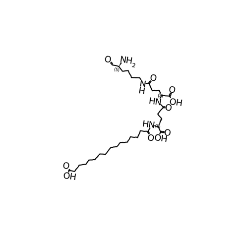 N[C@H](C=O)CCCCNC(=O)CC[C@H](NC(=O)CC[C@H](NC(=O)CCCCCCCCCCCCCCC(=O)O)C(=O)O)C(=O)O